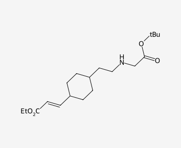 CCOC(=O)C=CC1CCC(CCNCC(=O)OC(C)(C)C)CC1